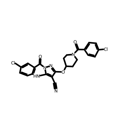 N#Cc1c(OC2CCN(C(=O)c3ccc(Cl)cc3)CC2)nn2c(=O)c3cc(Cl)ccc3[nH]c12